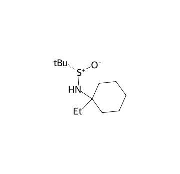 CCC1(N[S@@+]([O-])C(C)(C)C)CCCCC1